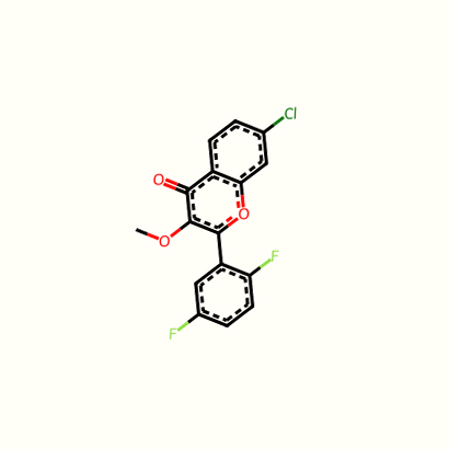 COc1c(-c2cc(F)ccc2F)oc2cc(Cl)ccc2c1=O